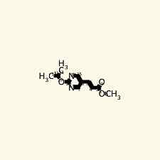 COC(=O)C=Cc1cnc(OC(C)C)nc1